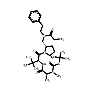 C[C@@H](C(=O)N[C@H](C(=O)N1CCC[C@H]1CN(CCc1ccccc1)C(=O)CN)C(C)(C)C)N(C)C(=O)OC(C)(C)C